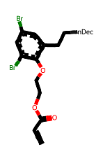 C=CC(=O)OCCOc1c(Br)cc(Br)cc1CCCCCCCCCCCC